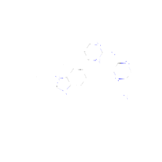 Cc1nc2c(F)cc(-c3nc(Nc4cnc(CN5CC(O)C5)cn4)ncc3F)cc2n1C(C)C